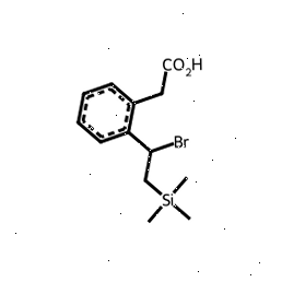 C[Si](C)(C)CC(Br)c1ccccc1CC(=O)O